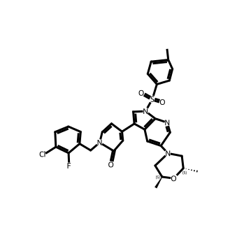 Cc1ccc(S(=O)(=O)n2cc(-c3ccn(Cc4cccc(Cl)c4F)c(=O)c3)c3cc(N4C[C@H](C)O[C@@H](C)C4)cnc32)cc1